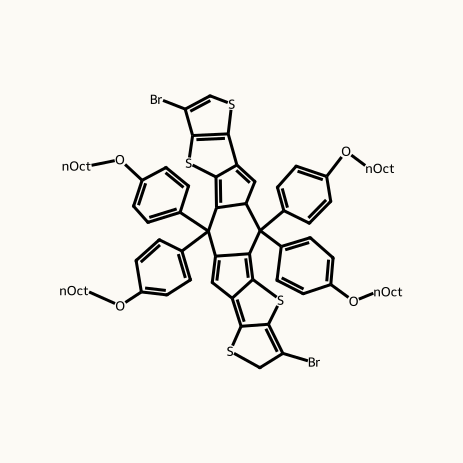 CCCCCCCCOc1ccc(C2(c3ccc(OCCCCCCCC)cc3)C3=Cc4c5c(sc4=C3C(c3ccc(OCCCCCCCC)cc3)(c3ccc(OCCCCCCCC)cc3)C3C=c4c(sc6c(Br)csc46)=C32)=C(Br)CS5)cc1